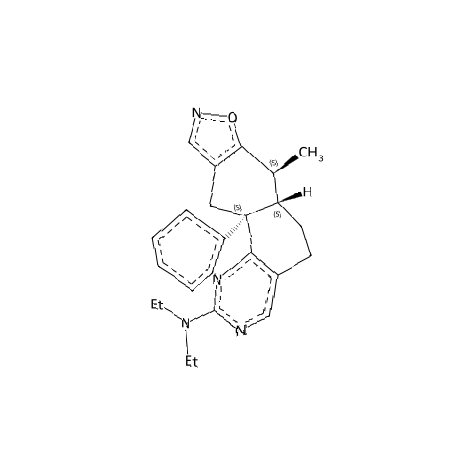 CCN(CC)c1ncc2c(n1)[C@@]1(c3ccccc3)Cc3cnoc3[C@@H](C)[C@@H]1CC2